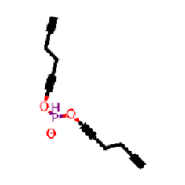 C#CCCC#CO[PH](=O)OC#CCCC#C